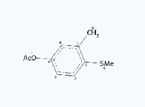 CSc1ccc(OC(C)=O)cc1C